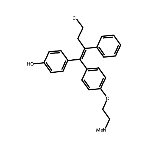 CNCCOc1ccc(/C(=C(/CCCl)c2ccccc2)c2ccc(O)cc2)cc1